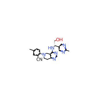 Cc1ccc(N2CCc3ncnc(N[C@H](CO)c4cnc(C)nc4)c3C2)c(C#N)c1